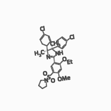 CCOc1cc(OC)c(S(=O)(=O)N2CCCC2)cc1C1=N[C@@](C)(C2C=CC(Cl)=CC2)[C@@](C)(c2ccc(Cl)cc2)N1